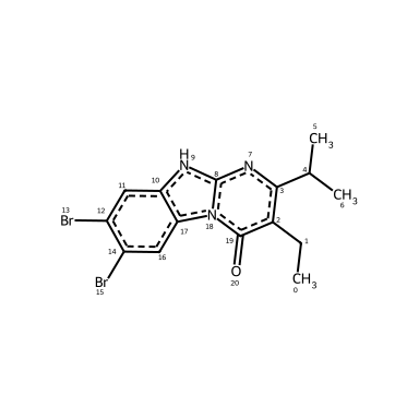 CCc1c(C(C)C)nc2[nH]c3cc(Br)c(Br)cc3n2c1=O